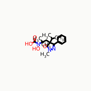 CC(C)C1(CC(C)(C)N(O)C(=O)O)C(=O)N(C)N=C1c1ccccc1